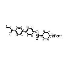 C=CC(=O)c1ccc(-c2ccc(OC(=O)C3CCC(CCCCC)CC3)cc2)cc1